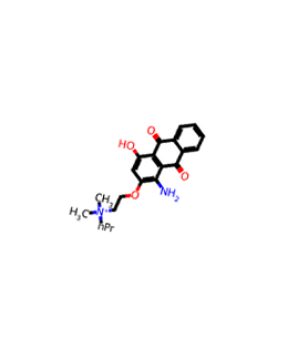 CCC[N+](C)(C)CCOc1cc(O)c2c(c1N)C(=O)c1ccccc1C2=O